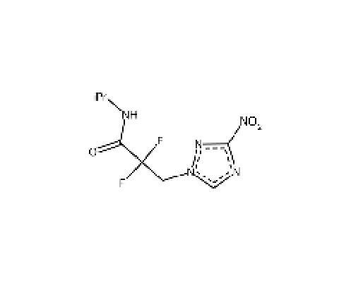 CC(C)NC(=O)C(F)(F)Cn1cnc([N+](=O)[O-])n1